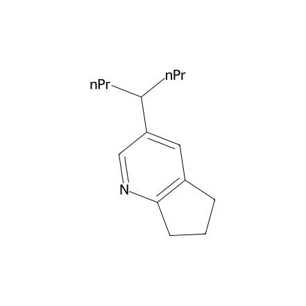 CCCC(CCC)c1cnc2c(c1)CCC2